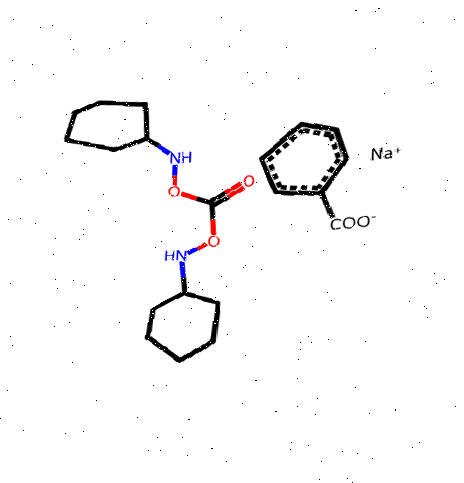 O=C(ONC1CCCCC1)ONC1CCCCC1.O=C([O-])c1ccccc1.[Na+]